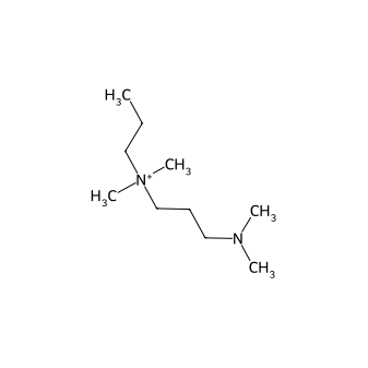 CCC[N+](C)(C)CCCN(C)C